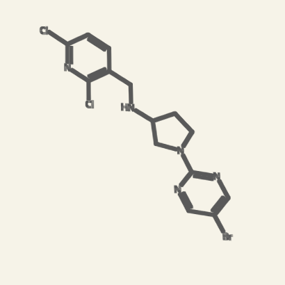 Clc1ccc(CNC2CCN(c3ncc(Br)cn3)C2)c(Cl)n1